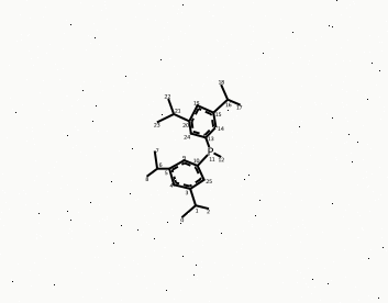 CC(C)c1cc(C(C)C)cc(P(C)c2cc(C(C)C)cc(C(C)C)c2)c1